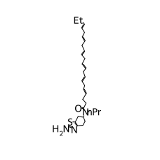 CCC=CCC=CCC=CCC=CCC=CCC=CCCC(=O)N(CCC)C1CCc2nc(N)sc2C1